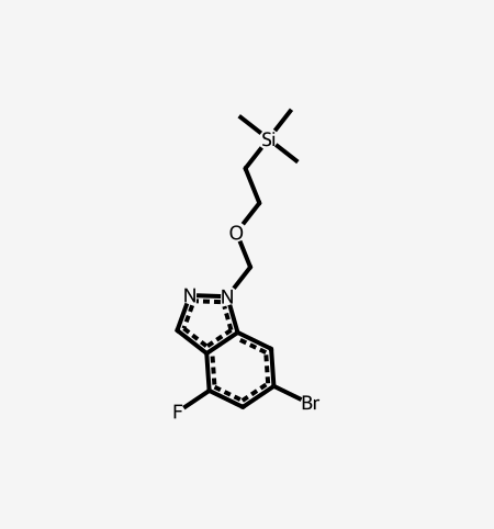 C[Si](C)(C)CCOCn1ncc2c(F)cc(Br)cc21